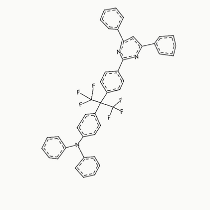 FC(F)(F)C(c1ccc(-c2nc(-c3ccccc3)cc(-c3ccccc3)n2)cc1)(c1ccc(N(c2ccccc2)c2ccccc2)cc1)C(F)(F)F